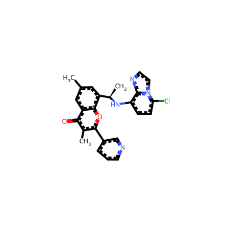 Cc1cc([C@@H](C)Nc2ccc(Cl)n3ccnc23)c2oc(-c3cccnc3)c(C)c(=O)c2c1